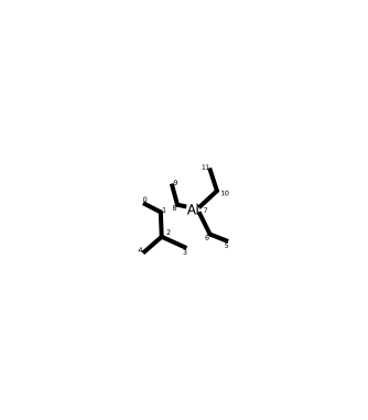 CCC(C)C.C[CH2][Al]([CH2]C)[CH2]C